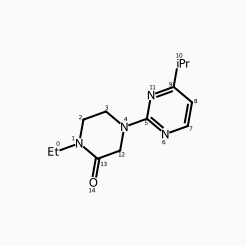 CCN1CCN(c2nccc(C(C)C)n2)CC1=O